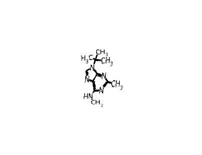 CNc1nc(C)nc2c1ncn2C(C)(C)C